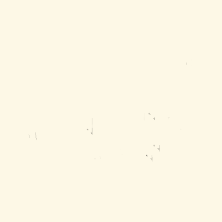 O=C(Nc1n[nH]c2sc(C(=O)Nc3ccc(Cl)cc3)cc12)c1ccc(Cl)cc1